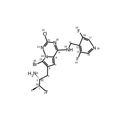 C[C@H](F)[C@H](N)Cc1cc2c(NCc3c(F)cncc3F)nc(Cl)nn2c1Br